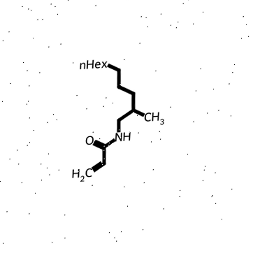 C=CC(=O)NCC(C)CCCCCCCCC